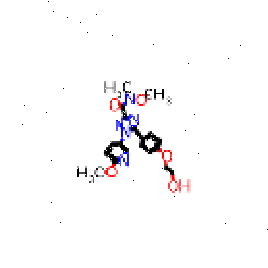 COc1ccc(-n2nc(C(=O)N(C)OC)nc2-c2ccc(OCCO)cc2)cn1